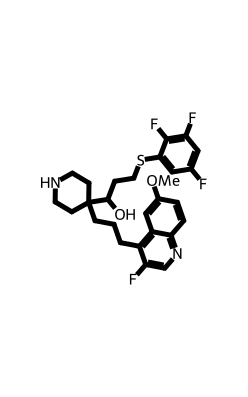 COc1ccc2ncc(F)c(CCCC3(C(O)CCSc4cc(F)cc(F)c4F)CCNCC3)c2c1